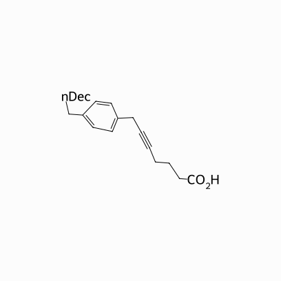 CCCCCCCCCCCc1ccc(CC#CCCCC(=O)O)cc1